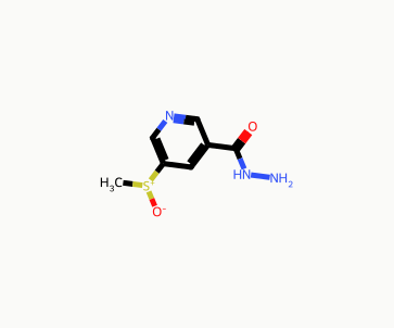 C[S+]([O-])c1cncc(C(=O)NN)c1